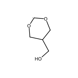 OCC1CO[CH]OC1